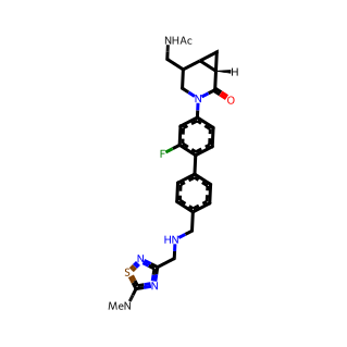 CNc1nc(CNCc2ccc(-c3ccc(N4CC(CNC(C)=O)C5C[C@@H]5C4=O)cc3F)cc2)ns1